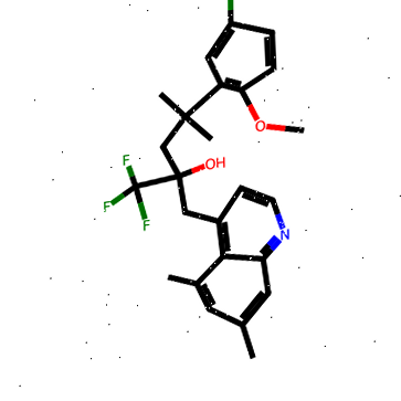 COc1ccc(F)cc1C(C)(C)CC(O)(Cc1ccnc2cc(C)cc(C)c12)C(F)(F)F